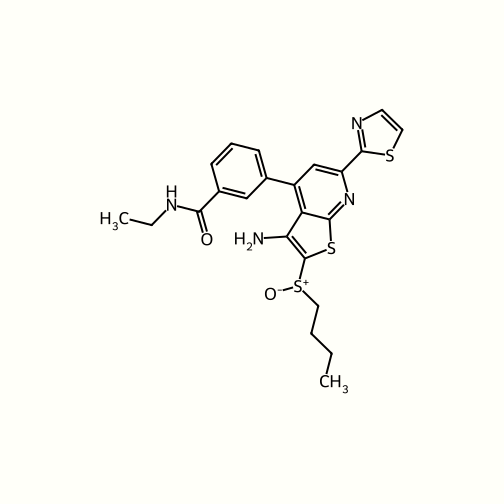 CCCC[S+]([O-])c1sc2nc(-c3nccs3)cc(-c3cccc(C(=O)NCC)c3)c2c1N